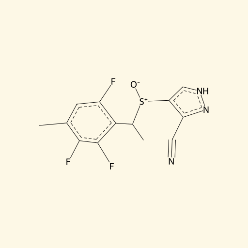 Cc1cc(F)c(C(C)[S+]([O-])c2c[nH]nc2C#N)c(F)c1F